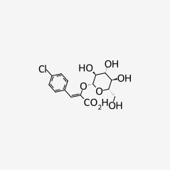 O=C(O)/C(=C/c1ccc(Cl)cc1)O[C@H]1O[C@@H](CO)[C@H](O)[C@@H](O)[C@@H]1O